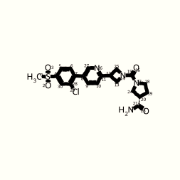 CS(=O)(=O)c1ccc(-c2ccc(C3CN(C(=O)N4CC[C@H](C(N)=O)C4)C3)nc2)c(Cl)c1